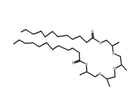 CCCCCCCCCCCC(=O)OCC(C)OCC(C)OCC(C)OCC(C)OC(=O)CCCCCCCCCCC